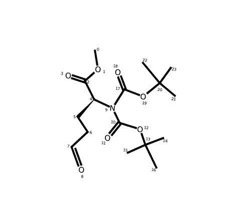 COC(=O)[C@H](CCC=O)N(C(=O)OC(C)(C)C)C(=O)OC(C)(C)C